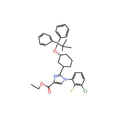 CCOC(=O)c1cn(-c2cccc(Cl)c2F)c(C2CCCC(O[Si](c3ccccc3)(c3ccccc3)C(C)(C)C)C2)n1